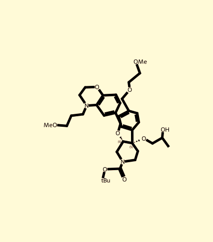 COCCCN1CCOc2ccc(CO[C@H]3CN(C(=O)OC(C)(C)C)CC[C@]3(OCC(C)O)c3ccc(COCCOC)cc3)cc21